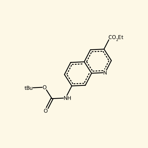 CCOC(=O)c1cnc2cc(NC(=O)OC(C)(C)C)ccc2c1